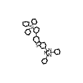 c1ccc(-c2nc(-c3ccccc3)nc(-c3ccc4c(c3)sc3ccc(-c5cccc([Si](c6ccccc6)(c6ccccc6)c6ccccc6)c5)cc34)n2)cc1